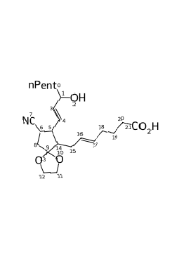 CCCCCC(O)/C=C/C1C(C#N)CC2(OCCO2)C1C/C=C/CCCC(=O)O